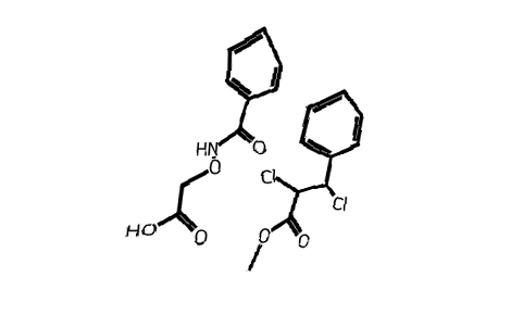 COC(=O)C(Cl)C(Cl)c1ccccc1.O=C(O)CONC(=O)c1ccccc1